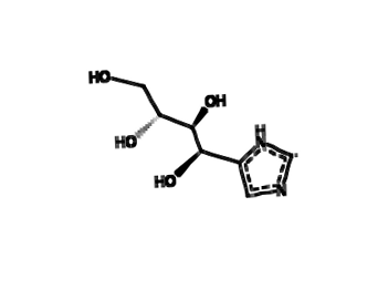 OC[C@@H](O)[C@@H](O)[C@H](O)c1cn[c][nH]1